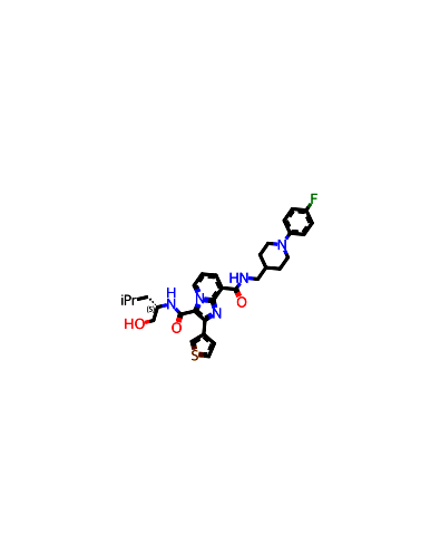 CC(C)C[C@@H](CO)NC(=O)c1c(-c2ccsc2)nc2c(C(=O)NCC3CCN(c4ccc(F)cc4)CC3)cccn12